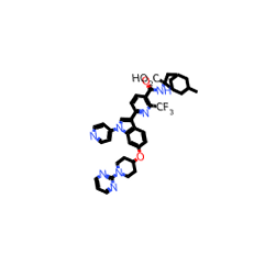 CC1CC2CC(C1)C(NC(=O)c1ccc(-c3cn(-c4ccncc4)c4cc(OC5CCN(c6ncccn6)CC5)ccc34)nc1C(F)(F)F)(C(=O)O)C2